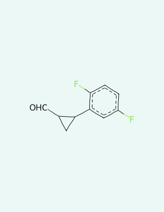 O=CC1CC1c1cc(F)ccc1F